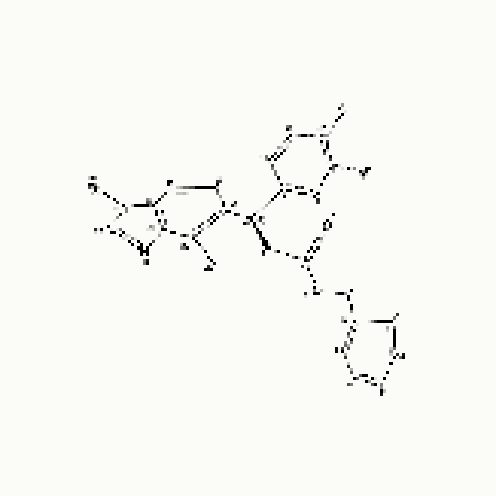 CCc1cc([C@@H](CC(=O)OCc2ccccc2)c2ccc3c(nnn3CC)c2C)ccc1C